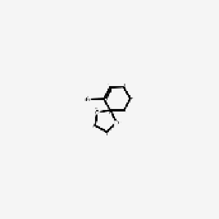 CC(C)C1=CCCCC12OCCO2